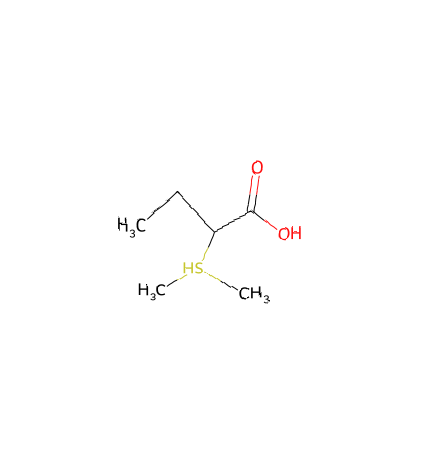 CCC(C(=O)O)[SH](C)C